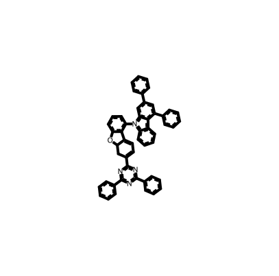 C1=C(c2nc(-c3ccccc3)nc(-c3ccccc3)n2)CC2Oc3cccc(-n4c5ccccc5c5c(-c6ccccc6)cc(-c6ccccc6)cc54)c3C2=C1